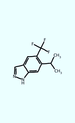 CC(C)c1cc2[nH]ncc2cc1C(F)(F)F